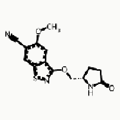 COc1cc2c(OC[C@@H]3CCC(=O)N3)nsc2cc1C#N